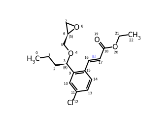 CCC[C@@H](OC[C@H]1CO1)c1cc(Cl)ccc1/C=C/C(=O)OCC